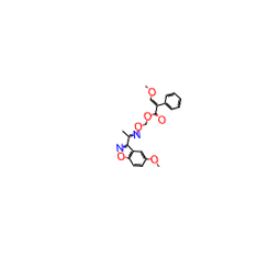 COC=C(C(=O)OCON=C(C)c1noc2ccc(OC)cc12)c1ccccc1